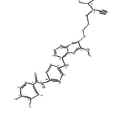 C#CN(CCCOc1cc2ncnc(Nc3ccc(NC(=O)c4ccc(F)c(F)c4)nc3)c2cc1OC)C(C)C